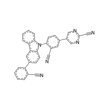 N#Cc1ncc(-c2ccc(-n3c4ccccc4c4cc(-c5ccccc5C#N)ccc43)c(C#N)c2)cn1